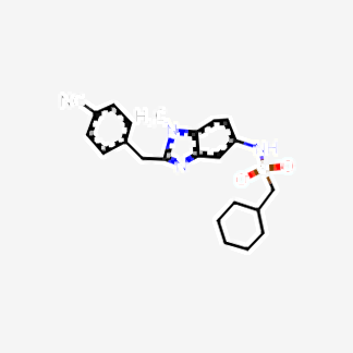 Cn1c(Cc2ccc(C#N)cc2)nc2cc(NS(=O)(=O)CC3CCCCC3)ccc21